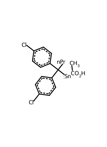 CC(=O)O.CCC[C]([Sn])(c1ccc(Cl)cc1)c1ccc(Cl)cc1